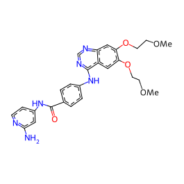 COCCOc1cc2ncnc(Nc3ccc(C(=O)Nc4ccnc(N)c4)cc3)c2cc1OCCOC